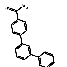 N=C(N)c1ccc(-c2cccc(-c3ccccc3)c2)cc1